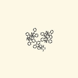 CC1(C)c2ccccc2-c2c(-c3ccc4c(c3)c3ccccc3c3nc5c6ccccc6n(-c6nc(-c7ccccc7)c7ccccc7n6)c5n43)cc(-c3ccc4c(-n5c6ccccc6c6nc7c8ccccc8c8ccccc8n7c65)nc(-c5ccccc5)nc4c3)cc21